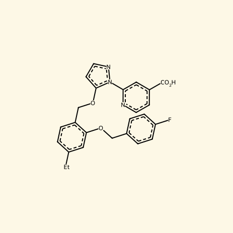 CCc1ccc(COc2ccnn2-c2cc(C(=O)O)ccn2)c(OCc2ccc(F)cc2)c1